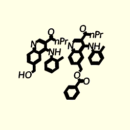 CCCC(=O)c1cnc2ccc(CO)cc2c1Nc1ccccc1C.CCCC(=O)c1cnc2ccc(COC(=O)c3ccccc3)cc2c1Nc1ccccc1C